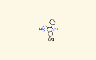 CC(C)(C)c1ccc2c(c1)C1NCCC1C(c1ccccc1)N2